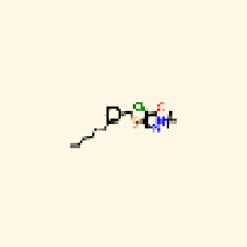 CCCCCCc1cccc(CSc2cnn(C(C)(C)C)c(=O)c2Cl)c1